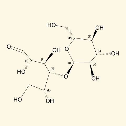 O=C[C@@H](O)[C@@H](O)[C@H](O[C@H]1O[C@H](CO)[C@@H](O)[C@H](O)[C@H]1O)[C@H](O)CO